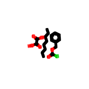 CCCCCCCC.O=C(Cl)OCc1ccccc1.O=C(O)C(=O)O